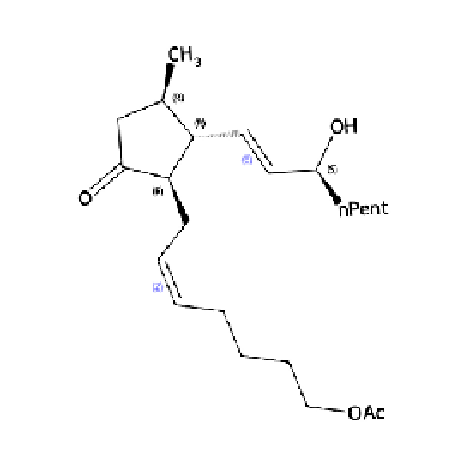 CCCCC[C@H](O)/C=C/[C@H]1[C@H](C)CC(=O)[C@@H]1C/C=C\CCCCOC(C)=O